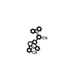 CC1CCCc2c1n(-c1ccccc1C1C=C(c3cc(C#N)cc(-n4c5ccccc5c5ccccc54)c3)C=CC1)c1c(C#N)cccc21